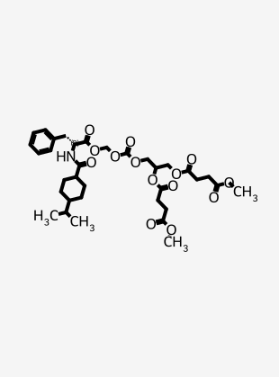 COC(=O)CCC(=O)OCC(COC(=O)OCOC(=O)[C@@H](Cc1ccccc1)NC(=O)C1CCC(C(C)C)CC1)OC(=O)CCC(=O)OC